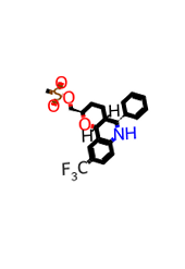 CS(=O)(=O)OC[C@H]1CC[C@@H]2[C@H](O1)c1cc(C(F)(F)F)ccc1N[C@H]2C1C=CC=CC1